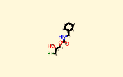 O=C(NCc1ccccc1)OCC(O)CBr